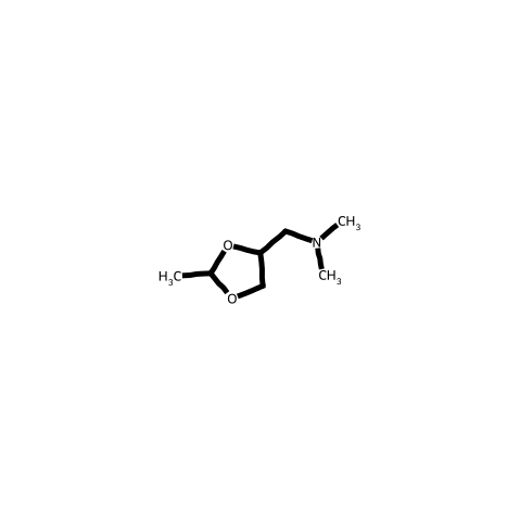 CC1OCC(CN(C)C)O1